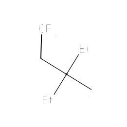 CCC(C)(CC)CC(F)(F)F